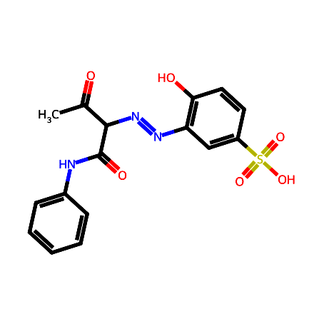 CC(=O)C(N=Nc1cc(S(=O)(=O)O)ccc1O)C(=O)Nc1ccccc1